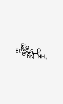 CCN(CC)S(=O)(=O)c1nnc(C(N)=O)s1